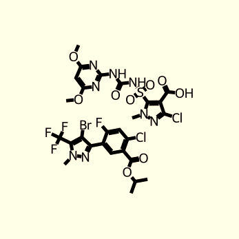 CC(C)OC(=O)c1cc(-c2nn(C)c(C(F)(F)F)c2Br)c(F)cc1Cl.COc1cc(OC)nc(NC(=O)NS(=O)(=O)c2c(C(=O)O)c(Cl)nn2C)n1